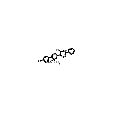 CC(C)C(NC(=O)c1ccccc1)C(=O)N1CC=C(c2ccc(Cl)cc2)C(C)(C)C1